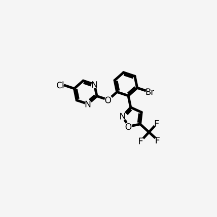 FC(F)(F)c1cc(-c2c(Br)cccc2Oc2ncc(Cl)cn2)no1